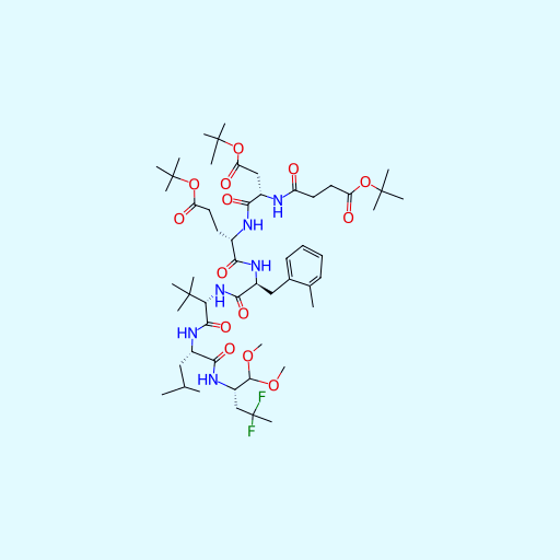 COC(OC)[C@H](CC(C)(F)F)NC(=O)[C@H](CC(C)C)NC(=O)[C@@H](NC(=O)[C@H](Cc1ccccc1C)NC(=O)[C@H](CCC(=O)OC(C)(C)C)NC(=O)[C@H](CC(=O)OC(C)(C)C)NC(=O)CCC(=O)OC(C)(C)C)C(C)(C)C